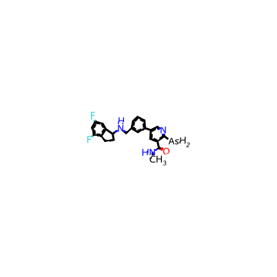 CNC(=O)c1cc(-c2cccc(CNC3CCc4c(F)cc(F)cc43)c2)cnc1[AsH2]